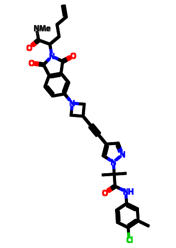 C=CCCC(C(=O)NC)N1C(=O)c2ccc(N3CC(C#Cc4cnn(C(C)(C)C(=O)Nc5ccc(Cl)c(C)c5)c4)C3)cc2C1=O